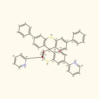 c1ccc(-c2ccc3c(c2)Sc2cc(-c4ccccc4)ccc2C32c3ccc(-c4ccccn4)cc3Sc3cc(-c4ccccn4)ccc32)cc1